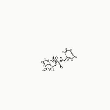 CCOC(=O)c1scc2c1CCC(C)(C(=O)OCc1ccccc1)C2